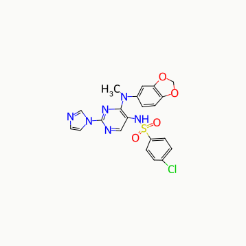 CN(c1ccc2c(c1)OCO2)c1nc(-n2ccnc2)ncc1NS(=O)(=O)c1ccc(Cl)cc1